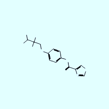 O=C(Oc1ccc(OCC(F)(F)C(F)F)cc1)c1cscn1